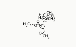 C=CCOC(=O)N1C[C@@H](CC(C)=O)C[C@H]1CO[Si](C)(C)C(C)(C)C